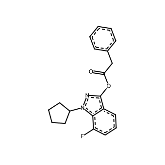 O=C(Cc1ccccc1)Oc1nn(C2CCCC2)c2c(F)cccc12